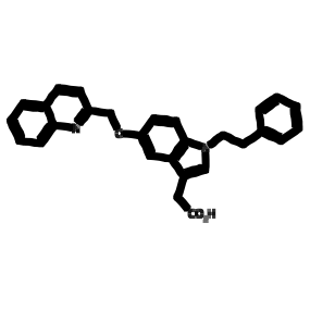 O=C(O)Cc1cn(CCc2ccccc2)c2ccc(OCc3ccc4ccccc4n3)cc12